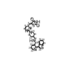 O=C1NC(=O)C(=Cc2ccnc(N3CCC(CNCc4cccnc4-c4csc5ccccc45)CC3)n2)S1